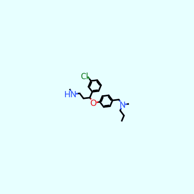 CCCN(C)Cc1ccc(OC(CCNC)c2cccc(Cl)c2)cc1